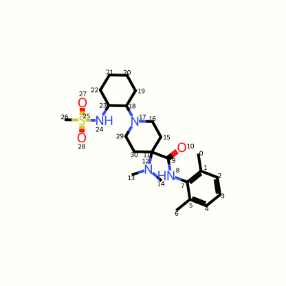 Cc1cccc(C)c1NC(=O)C1(N(C)C)CCN(C2CCCCC2NS(C)(=O)=O)CC1